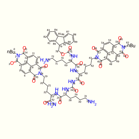 CCCCN1C(=O)c2ccc3c4c(ccc(c24)C1=O)C(=O)N(CCCCC(NC(=O)C(CCCCN)NC(=O)NC(=O)C(CCCCN1C(=O)c2ccc4c5c(ccc(c25)C1=O)C(=O)N(CCCC)C4=O)NC(=O)C(CCCCN)NC(=O)OCC1c2ccccc2-c2ccccc21)C(N)=O)C3=O